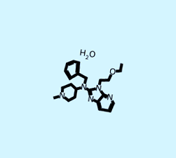 CCOCCn1c(N(Cc2ccccc2)C2CCN(C)CC2)nc2cccnc21.O